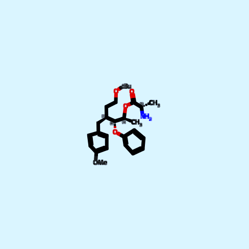 COc1ccc(C[C@@H](CCOC(C)(C)C)[C@@H](Oc2ccccc2)[C@H](C)OC(=O)[C@H](C)N)cc1